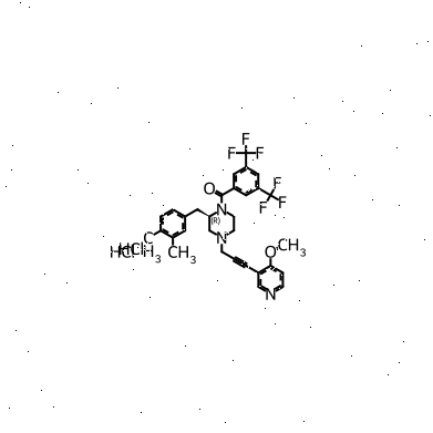 COc1ccncc1C#CCN1CCN(C(=O)c2cc(C(F)(F)F)cc(C(F)(F)F)c2)[C@H](Cc2ccc(C)c(C)c2)C1.Cl.Cl